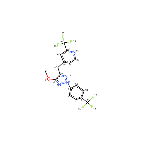 COc1nn(-c2ccc(C(F)(F)F)cc2)nc1Cc1ccnc(C(F)(F)F)c1